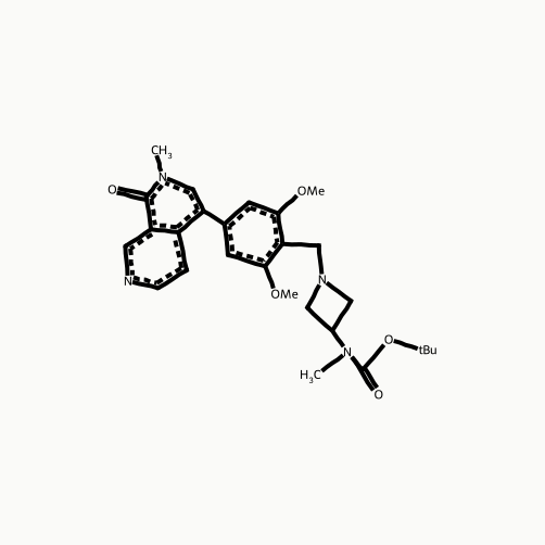 COc1cc(-c2cn(C)c(=O)c3cnccc23)cc(OC)c1CN1CC(N(C)C(=O)OC(C)(C)C)C1